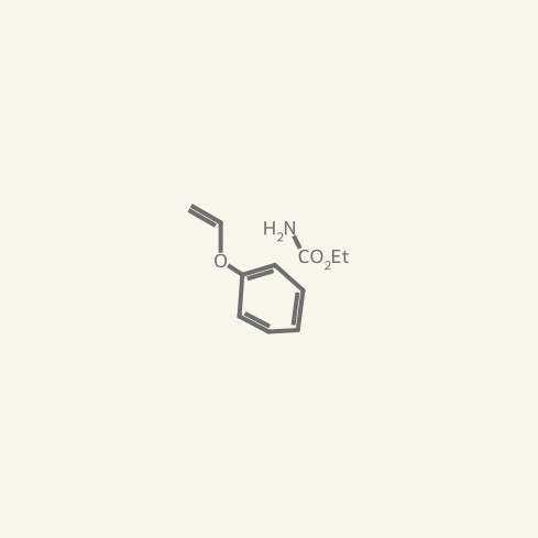 C=COc1ccccc1.CCOC(N)=O